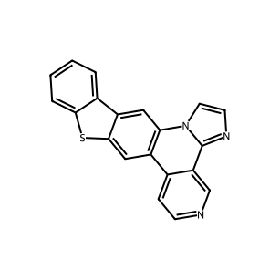 c1ccc2c(c1)sc1cc3c4ccncc4c4nccn4c3cc12